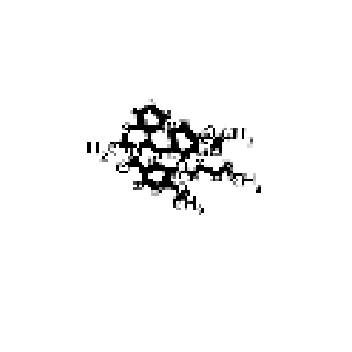 C=C(Sc1ccccc1)N(CCc1ccc(OC(C)=O)cc1)C(=O)c1ccc(OC)c(OCCCCC)c1